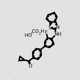 O=C(O)O.O=C(c1ccc(-c2ccc(Nc3nc4ccccc4s3)c(F)c2)cc1)C1CC1